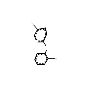 CC(C)c1ccccc1Oc1ccc(N)cn1